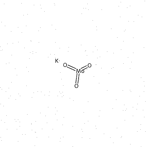 [K].[O]=[Mo](=[O])=[O]